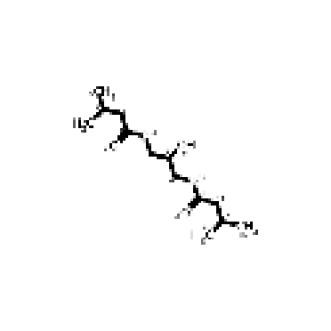 CC(C)CC(=O)OCC(O)COC(=O)CC(C)C